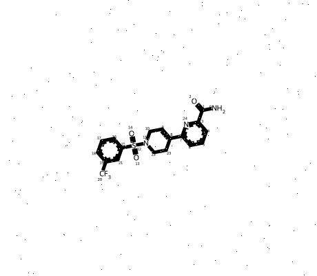 NC(=O)c1cccc(C2=CCN(S(=O)(=O)c3cccc(C(F)(F)F)c3)CC2)n1